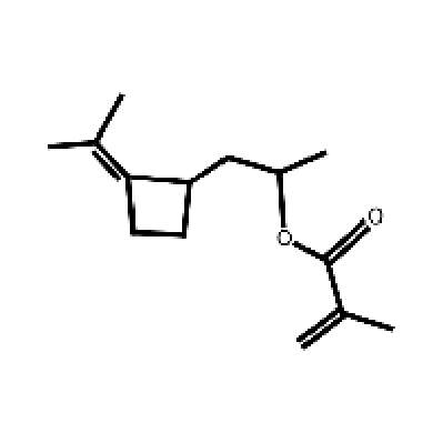 C=C(C)C(=O)OC(C)CC1CCC1=C(C)C